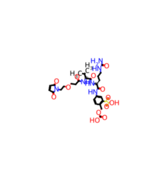 CC(C)[C@H](NC(=O)CCOCCN1C(=O)C=CC1=O)C(=O)N[C@@H](CCCNC(N)=O)C(=O)Nc1ccc(COC(=O)O)c(S(=O)(=O)O)c1